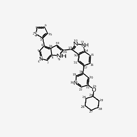 c1csc(-c2cncc3[nH]c(-c4n[nH]c5ccc(-c6cncc(OC7CCCCC7)c6)cc45)cc23)c1